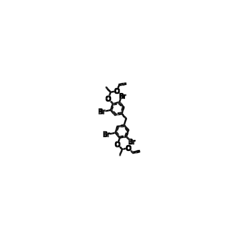 C=COC(C)Oc1c(Br)cc(Cc2cc(Br)c(OC(C)OC=C)c(Br)c2)cc1Br